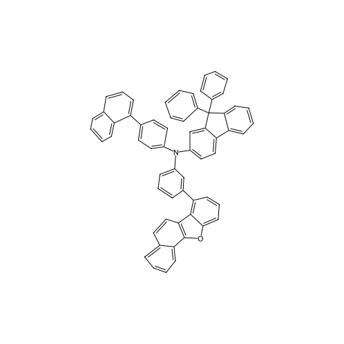 c1ccc(C2(c3ccccc3)c3ccccc3-c3ccc(N(c4ccc(-c5cccc6ccccc56)cc4)c4cccc(-c5cccc6oc7c8ccccc8ccc7c56)c4)cc32)cc1